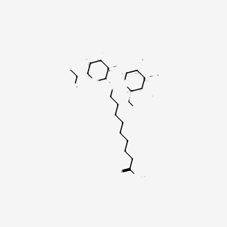 COC(=O)CCCCCCCCO[C@H]1O[C@H](C(O)Cl)[C@@H](O)[C@H](O)[C@H]1O[C@H]1O[C@H](CO)[C@@H](O)[C@H](O)[C@H]1O